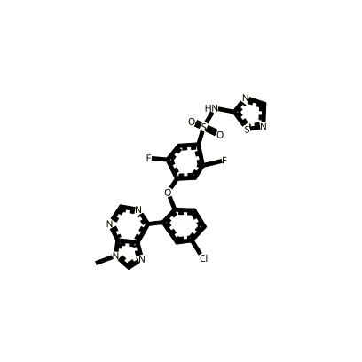 Cn1cnc2c(-c3cc(Cl)ccc3Oc3cc(F)c(S(=O)(=O)Nc4ncns4)cc3F)ncnc21